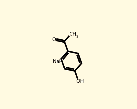 CC(=O)c1ccc(O)cc1.[NaH]